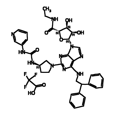 CCNC(=O)[C@H]1O[C@@H](n2cnc3c(NCC(c4ccccc4)c4ccccc4)nc(N4CC[C@@H](NC(=O)Nc5cccnc5)C4)nc32)[C@H](O)[C@@H]1O.O=C(O)C(F)(F)F